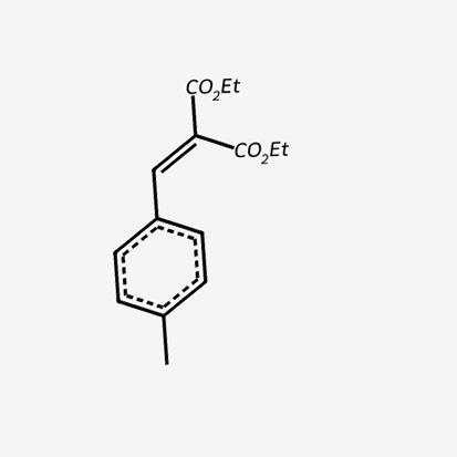 CCOC(=O)C(=Cc1ccc(C)cc1)C(=O)OCC